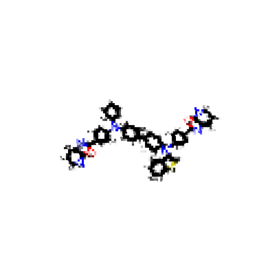 c1ccc(N(c2ccc(-c3ccc(N(c4ccc(-c5nc6cccnc6o5)cc4)c4csc5ccccc45)cc3)cc2)c2ccc(-c3nc4cccnc4o3)cc2)cc1